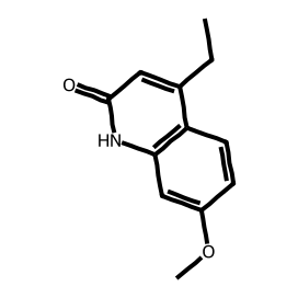 CCc1cc(=O)[nH]c2cc(OC)ccc12